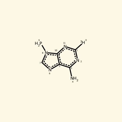 [3H]c1nc(N)c2ncn(P)c2n1